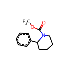 O=C(OC(F)(F)F)N1CCCCC1c1ccccc1